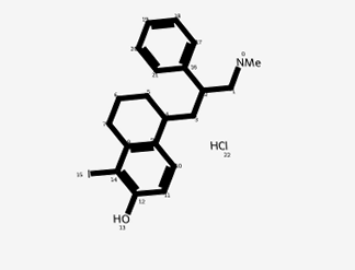 CNCC(CC1CCCc2c1ccc(O)c2I)c1ccccc1.Cl